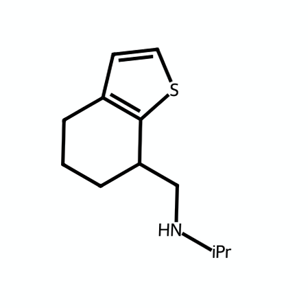 CC(C)NCC1CCCc2ccsc21